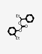 CCc1ccccc1OC(=O)OC(CC)c1ccccc1